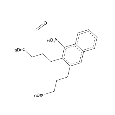 C=O.CCCCCCCCCCCCCc1cc2ccccc2c(S(=O)(=O)O)c1CCCCCCCCCCCCC